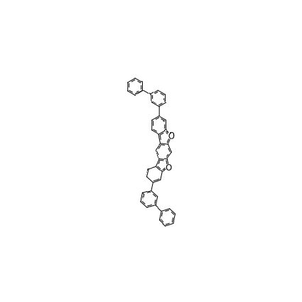 C1=C(c2cccc(-c3ccccc3)c2)CCc2c1oc1cc3oc4cc(-c5cccc(-c6ccccc6)c5)ccc4c3cc21